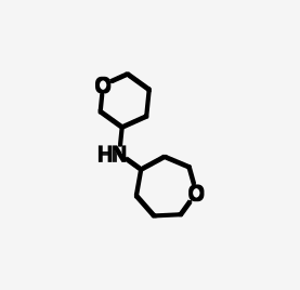 C1COCCC(NC2CCCOC2)C1